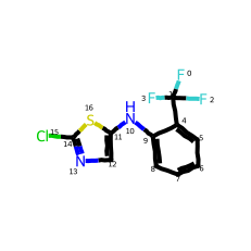 FC(F)(F)c1ccccc1Nc1cnc(Cl)s1